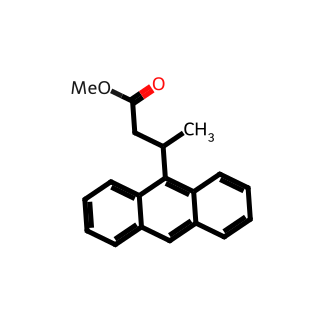 COC(=O)CC(C)c1c2ccccc2cc2ccccc12